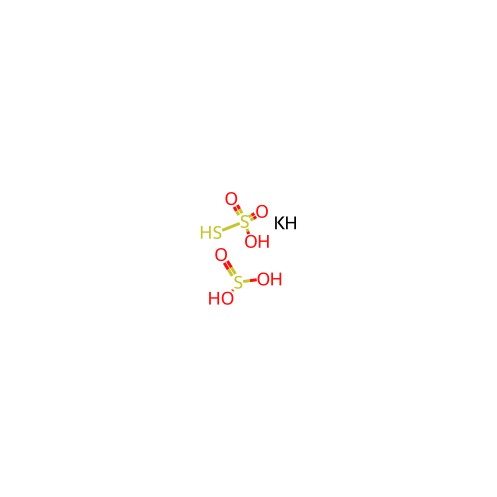 O=S(=O)(O)S.O=S(O)O.[KH]